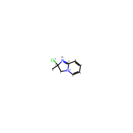 CC1(Cl)CN2C=CC=CC2=N1